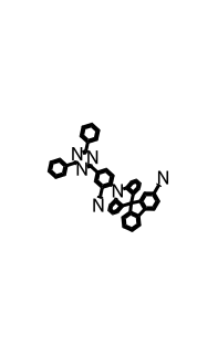 N#Cc1ccc2c(c1)C1(c3ccccc3-2)c2ccccc2N(c2ccc(-c3nc(-c4ccccc4)nc(-c4ccccc4)n3)cc2C#N)c2ccccc21